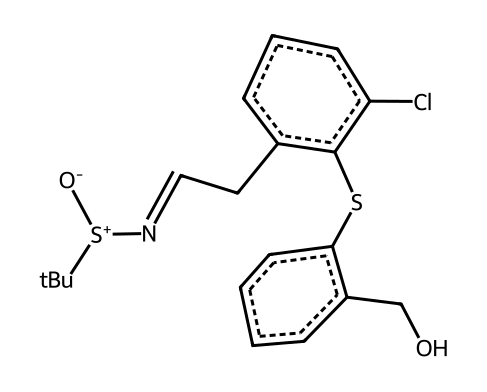 CC(C)(C)[S+]([O-])N=CCc1cccc(Cl)c1Sc1ccccc1CO